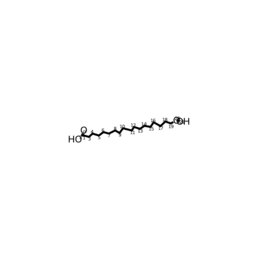 O=C(O)CCCCCCCCCCCCCCCCCOO